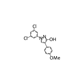 COc1ccc(-c2cn(-c3cc(Cl)cc(Cl)c3)nc2O)cc1